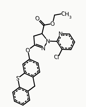 CCOC(=O)C1CC(Oc2ccc3c(c2)Sc2ccccc2C3)=NN1c1ncccc1Cl